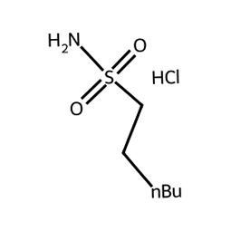 CCCCCCS(N)(=O)=O.Cl